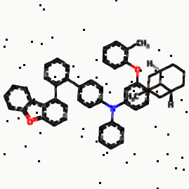 Cc1ccccc1Oc1cc(N(c2ccccc2)c2ccc(-c3ccccc3-c3cccc4oc5ccccc5c34)cc2)ccc1C1[C@@H]2CCC[C@@H]1CC(C)C2